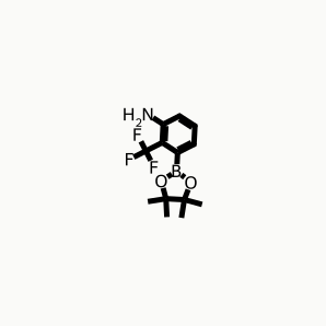 CC1(C)OB(c2cccc(N)c2C(F)(F)F)OC1(C)C